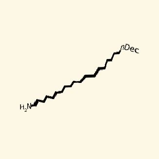 CCCCCCCCCCCCCCCCCCCCCCCCCCCC=CN